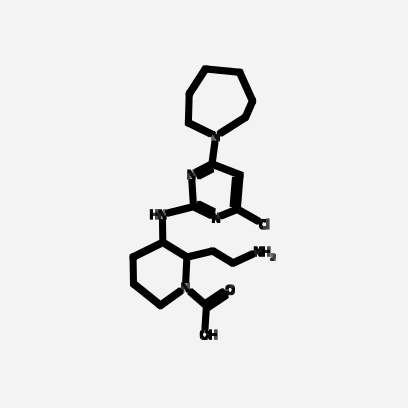 NCCC1C(Nc2nc(Cl)cc(N3CCCCCC3)n2)CCCN1C(=O)O